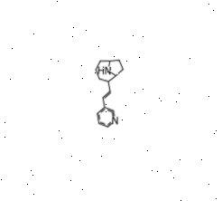 C(=CC1CCCC2CCC1N2)c1cccnc1